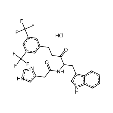 Cl.O=C(Cc1c[nH]cn1)NC(Cc1c[nH]c2ccccc12)C(=O)CCc1cc(C(F)(F)F)cc(C(F)(F)F)c1